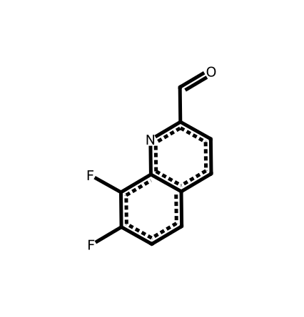 O=Cc1ccc2ccc(F)c(F)c2n1